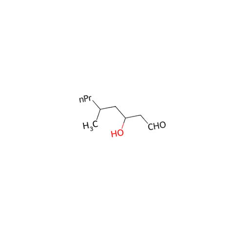 CCCC(C)CC(O)CC=O